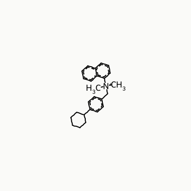 C[N+](C)(Cc1ccc(C2CCCCC2)cc1)c1cccc2ccccc12